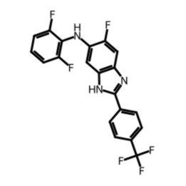 Fc1cc2nc(-c3ccc(C(F)(F)F)cc3)[nH]c2cc1Nc1c(F)cccc1F